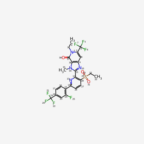 CCn1c(C(F)(F)F)cc2nc(-c3nc(-c4ccc(C(F)(F)F)cc4F)ccc3S(=O)(=O)CC)n(C)c2c1=O